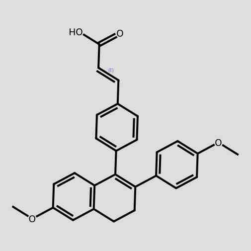 COc1ccc(C2=C(c3ccc(/C=C/C(=O)O)cc3)c3ccc(OC)cc3CC2)cc1